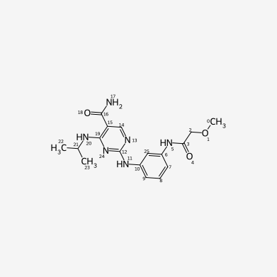 COCC(=O)Nc1cccc(Nc2ncc(C(N)=O)c(NC(C)C)n2)c1